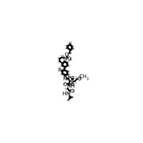 COCCS(=O)(=O)C(C(=O)NCC(=O)NC1CC1)c1nc2cc(F)c(-c3ccc4c(c3)CCCN4C(=O)OCc3ccccc3)cc2s1